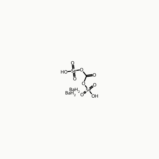 O=C(O[Se](=O)(=O)O)O[Se](=O)(=O)O.[BaH2].[BaH2]